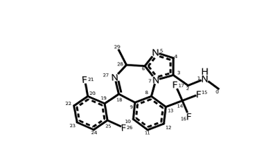 CNCc1cnc2n1-c1c(cccc1C(F)(F)F)C(c1c(F)cccc1F)=NC2C